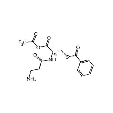 NCCC(=O)N[C@@H](CSC(=O)c1ccccc1)C(=O)OC(=O)C(F)(F)F